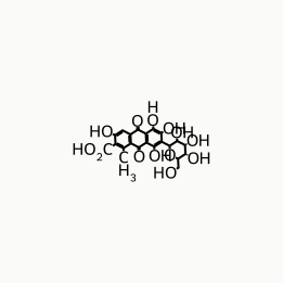 Cc1c(C(=O)O)c(O)cc2c1C(=O)c1c(O)c(C3OC(CO)[C@@H](O)[C@@H](O)C3O)c(O)c(O)c1C2=O